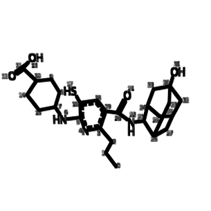 CCCc1nc(NC2CCC(C(=O)O)CC2)c(S)cc1C(=O)NC1C2CC3CC1CC(O)(C3)C2